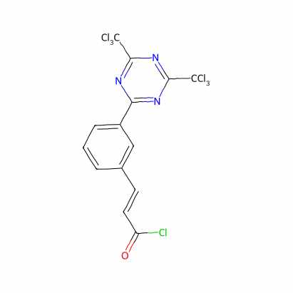 O=C(Cl)C=Cc1cccc(-c2nc(C(Cl)(Cl)Cl)nc(C(Cl)(Cl)Cl)n2)c1